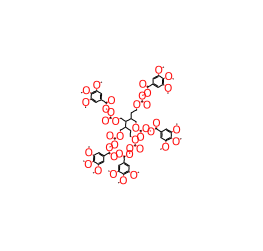 COc1cc(C(=O)OOC(=O)OCCC(COC(=O)OOC(=O)c2cc(OC)c(OC)c(OC)c2)C(COC(=O)OOC(=O)c2cc(OC)c(OC)c(OC)c2)C(CCOC(=O)OOC(=O)c2cc(OC)c(OC)c(OC)c2)COC(=O)OOC(=O)c2cc(OC)c(OC)c(OC)c2)cc(OC)c1OC